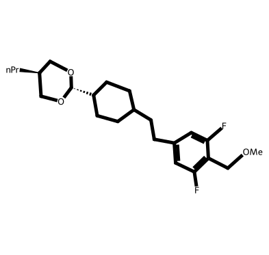 CCC[C@H]1CO[C@H](C2CCC(CCc3cc(F)c(COC)c(F)c3)CC2)OC1